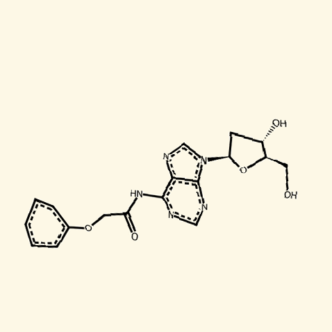 O=C(COc1ccccc1)Nc1ncnc2c1ncn2[C@H]1C[C@H](O)[C@@H](CO)O1